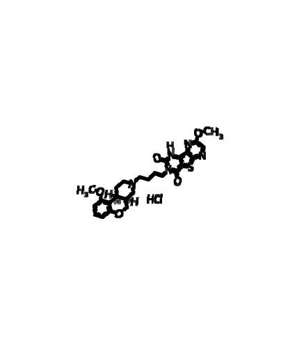 COc1cnc2sc3c(=O)n(CCCCN4CC[C@H]5c6c(OC)cccc6OC[C@@H]5C4)c(=O)[nH]c3c2n1.Cl